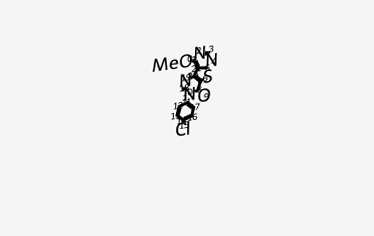 COc1ncnc2sc3c(=O)n(-c4ccc(Cl)cc4)cnc3c12